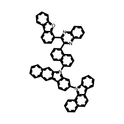 c1ccc2cc3c(cc2c1)c1ccc(-n2c4ccccc4c4ccc5ccccc5c42)cc1n3-c1cccc2c(-c3nc4ccccc4nc3-c3cccc4c3oc3ccccc34)cccc12